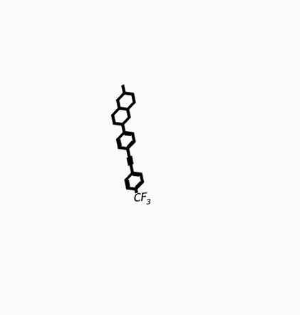 CC1CCC2CC(c3ccc(C#Cc4ccc(C(F)(F)F)cc4)cc3)CCC2C1